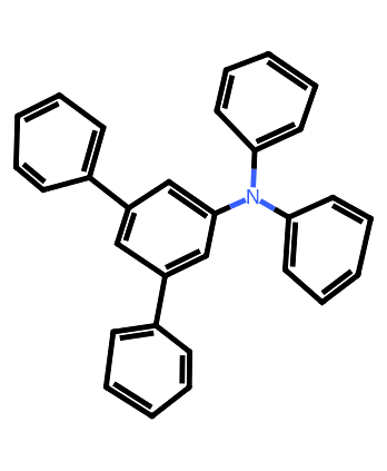 c1ccc(-c2cc(-c3ccccc3)cc(N(c3ccccc3)c3ccccc3)c2)cc1